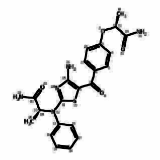 C[C@H](Oc1ccc(C(=O)c2sc(N(c3ccccc3)[C@@H](C)C(N)=O)nc2N)cc1)C(N)=O